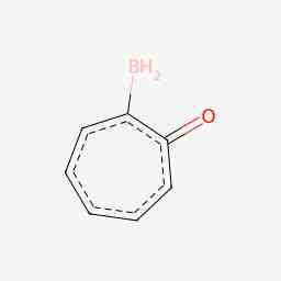 Bc1cccccc1=O